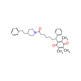 CC1=C(C)C(=O)C(C(CCCCCC(=O)N2CCC(CCc3ccccc3)CC2)c2ccccc2)=C(C)C1=O